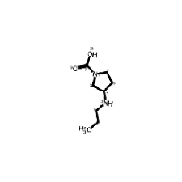 CCCNC1CCN(C(=O)O)C1